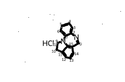 C1=Nc2ccccc2N2CCc3cccc1c32.Cl